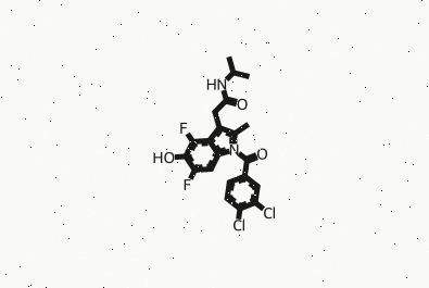 Cc1c(CC(=O)NC(C)C)c2c(F)c(O)c(F)cc2n1C(=O)c1ccc(Cl)c(Cl)c1